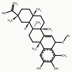 C=C(O)[C@]1(C)CC[C@]2(C)CC[C@]3(C)C4=CC(SC(C)C)c5c(cc(O)c(O)c5C)[C@]4(C)CC[C@@]3(C)[C@@H]2C1